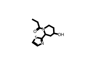 CCC(=O)N1CCC(O)CC1c1nccs1